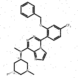 CN1C[C@H](F)C[C@@H](N(C)c2nnc(-c3ccc(C(F)(F)F)cc3OCc3ccccc3)n3ccnc23)C1